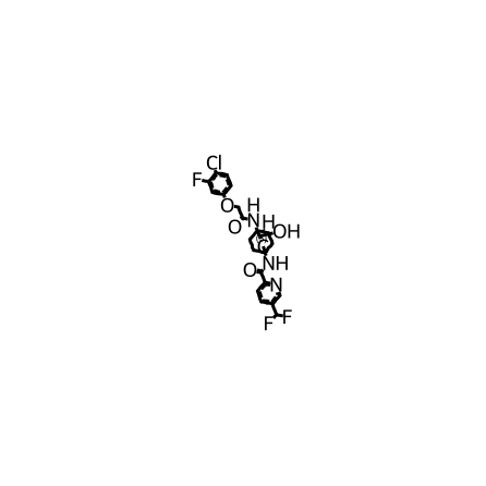 O=C(COc1ccc(Cl)c(F)c1)NC12CCC(NC(=O)c3ccc(C(F)F)cn3)(CC1)C[C@@H]2O